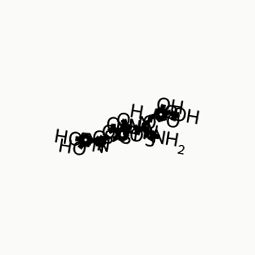 Nc1nc(C(=NOCc2ccc(OC(=O)O)c(O)c2)C(=O)N[C@@H]2C(=O)N3C(C(=O)O)=C(CSc4nnc(-c5ccc(O)c(O)c5)o4)CS[C@@H]23)cs1